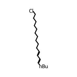 CCCC/C=C/C=C/CCCCCCCCCCCl